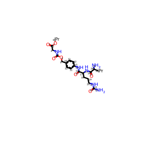 CC(C)OC(=O)CNC(=O)OCc1ccc(NC(=O)C(CCCNC(N)=O)NC(=O)C(N)C(C)C)cc1